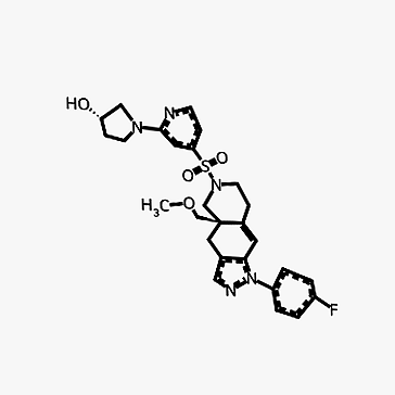 COC[C@]12Cc3cnn(-c4ccc(F)cc4)c3C=C1CCN(S(=O)(=O)c1ccnc(N3CC[C@H](O)C3)c1)C2